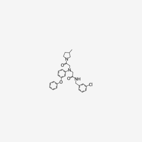 CC1CCN(C(=O)CN(CC(=O)NCc2cccc(Cl)c2)c2cccc(Oc3ccccc3)c2)C1